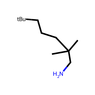 CC(C)(C)CCCC(C)(C)CN